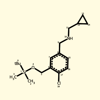 CC(C)(C)[Si](C)(C)OCc1cc(CNCC2CC2)ccc1Cl